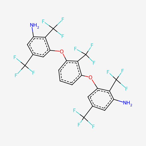 Nc1cc(C(F)(F)F)cc(Oc2cccc(Oc3cc(C(F)(F)F)cc(N)c3C(F)(F)F)c2C(F)(F)F)c1C(F)(F)F